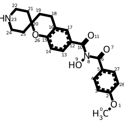 COc1ccc(C(=O)N(O)C(=O)c2ccc3c(c2)CCC2(CCNCC2)O3)cc1